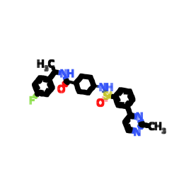 Cc1nccc(-c2cccc([S+]([O-])N[C@H]3CC[C@H](C(=O)N[C@H](C)c4ccc(F)cc4)CC3)c2)n1